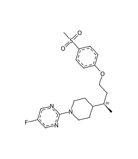 C[C@H](CCOc1ccc(S(C)(=O)=O)cc1)C1CCN(c2ncc(F)cn2)CC1